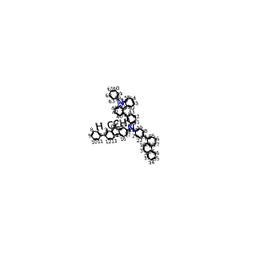 CC1(C)c2cc(-c3ccccc3)ccc2-c2ccc(N(c3ccc(C4=CCCc5c4ccc4ccccc54)cc3)c3cccc(-c4cccc5c4c4ccccc4n5-c4ccccc4)c3)cc21